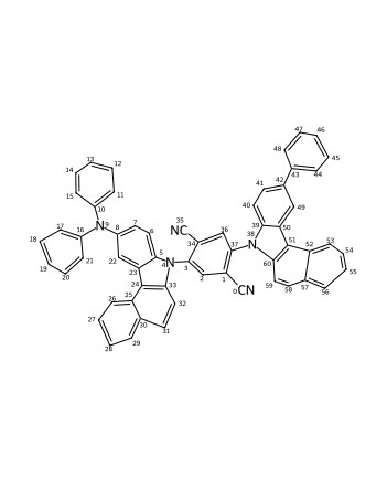 N#Cc1cc(-n2c3ccc(N(c4ccccc4)c4ccccc4)cc3c3c4ccccc4ccc32)c(C#N)cc1-n1c2ccc(-c3ccccc3)cc2c2c3ccccc3ccc21